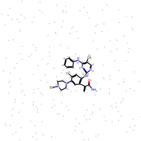 C=C(C(N)=O)c1cc(N2CCN(CC)CC2)c(Cl)cc1Nc1ncc(C#N)c(Nc2ccccc2)n1